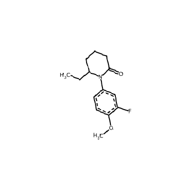 CCC1CCCC(=O)N1c1ccc(OC)c(F)c1